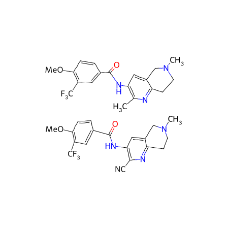 COc1ccc(C(=O)Nc2cc3c(nc2C#N)CCN(C)C3)cc1C(F)(F)F.COc1ccc(C(=O)Nc2cc3c(nc2C)CCN(C)C3)cc1C(F)(F)F